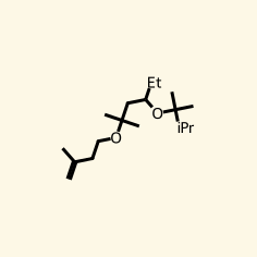 C=C(C)CCOC(C)(C)CC(CC)OC(C)(C)C(C)C